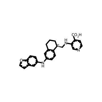 O=C(O)c1ccncc1NC[C@@H]1CCCc2cc(Nc3ccc4occc4c3)ccc21